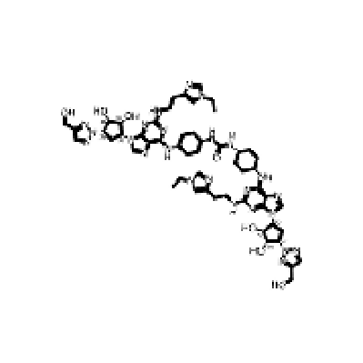 CCn1cnc(CCNc2nc(N[C@H]3CC[C@H](NC(=O)N[C@H]4CC[C@H](Nc5nc(NCCc6cn(CC)cn6)nc6c5ncn6[C@@H]5C[C@H](n6ncc(CO)n6)[C@@H](O)[C@H]5O)CC4)CC3)c3ncn([C@@H]4C[C@H](n5ncc(CO)n5)[C@@H](O)[C@H]4O)c3n2)c1